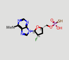 CNc1ncnc2c1ncn2[C@H]1O[C@H](COP(=O)(O)S)C[C@@H]1F